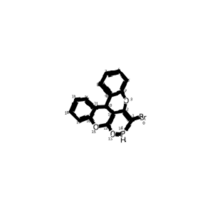 BrC1=C2Oc3ccccc3C3C2=C(OP1)Oc1ccccc13